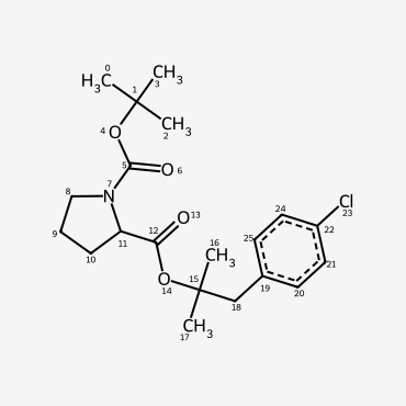 CC(C)(C)OC(=O)N1CCCC1C(=O)OC(C)(C)Cc1ccc(Cl)cc1